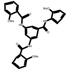 COc1ccccc1NC(=O)c1cc(NC(=O)c2ccccc2OC)cc(NC(=O)c2ccccc2OC)c1